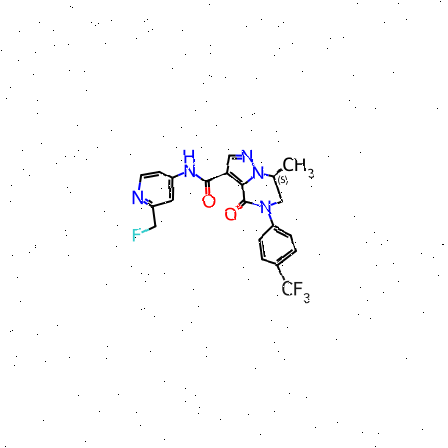 C[C@H]1CN(c2ccc(C(F)(F)F)cc2)C(=O)c2c(C(=O)Nc3ccnc(CF)c3)cnn21